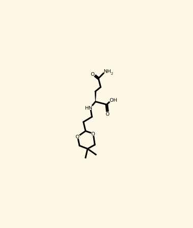 CC1(C)COC(CCN[C@@H](CCC(N)=O)C(=O)O)OC1